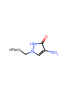 CCCCCCn1cc(N)c(=O)[nH]1